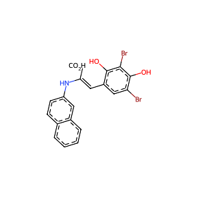 O=C(O)C(=Cc1cc(Br)c(O)c(Br)c1O)Nc1ccc2ccccc2c1